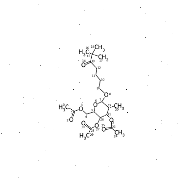 CC(=O)OCC1OC(OCCCCC(=O)C(C)(C)C)C(C)C(OC(C)=O)C1OC(C)=O